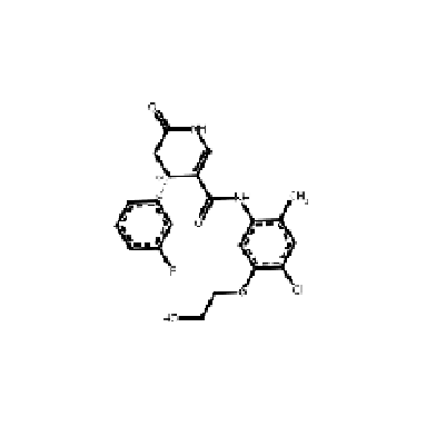 Cc1cc(Cl)c(OCCO)cc1NC(=O)C1=CNC(=O)C[C@H]1c1cccc(F)c1